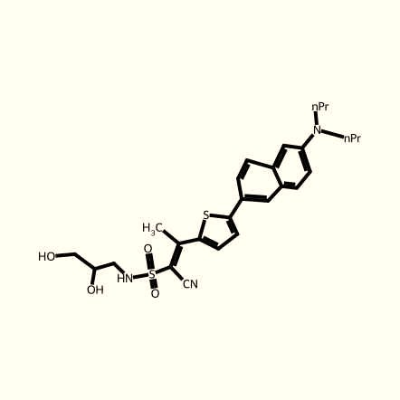 CCCN(CCC)c1ccc2cc(-c3ccc(/C(C)=C(\C#N)S(=O)(=O)NCC(O)CO)s3)ccc2c1